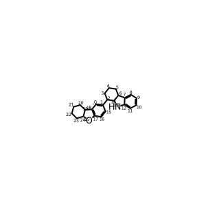 [c]1c(C2CCCC3c4ccccc4NC23)ccc2c1C1CCCCC1O2